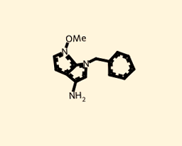 COn1ccc2c(N)cn(Cc3ccccc3)c21